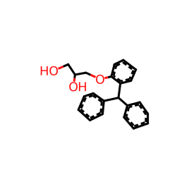 OCC(O)COc1ccccc1C(c1ccccc1)c1ccccc1